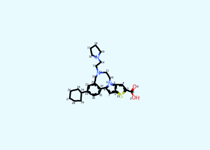 O=C(O)c1cc2c(cc3n2CCN(CCN2CCCC2)Cc2cc(C4CCCCC4)ccc2-3)s1